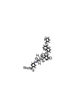 CNC(=O)c1ccc(/C=C/C(=O)NCC(=O)N(C)c2ccc(Cl)c(COc3cccc4c(OCc5ccccn5)ccnc34)c2Cl)cc1